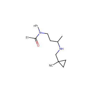 CCCN(CCC(C)NCC1(C#N)CC1)C(=O)CC